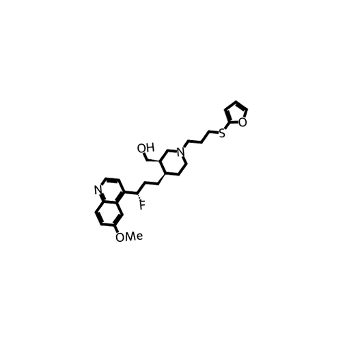 COc1ccc2nccc([C@@H](F)CC[C@@H]3CCN(CCCSc4ccco4)C[C@@H]3CO)c2c1